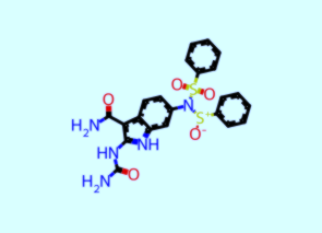 NC(=O)Nc1[nH]c2cc(N([S@@+]([O-])c3ccccc3)S(=O)(=O)c3ccccc3)ccc2c1C(N)=O